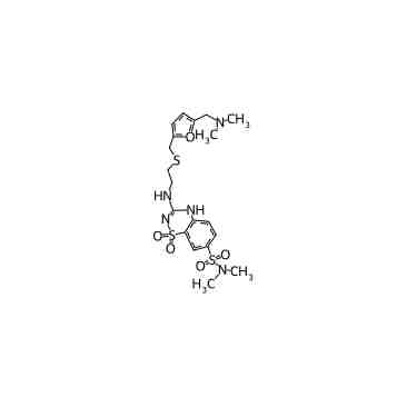 CN(C)Cc1ccc(CSCCNC2=NS(=O)(=O)c3cc(S(=O)(=O)N(C)C)ccc3N2)o1